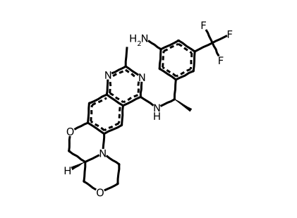 Cc1nc(N[C@H](C)c2cc(N)cc(C(F)(F)F)c2)c2cc3c(cc2n1)OC[C@H]1COCCN31